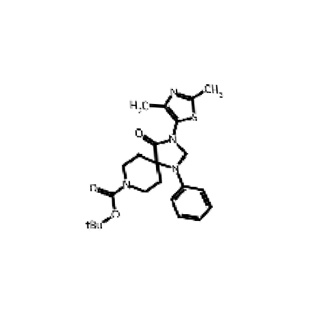 Cc1nc(C)c(N2CN(c3ccccc3)C3(CCN(C(=O)OC(C)(C)C)CC3)C2=O)s1